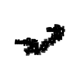 CC[C@H]1CCC[C@@H](c2ncc(-c3ccc(-c4ccc5cc(-c6cnc([C@@H]7CC8(CC8)CN7C(=O)[C@@H](NC(=O)OC)C(C)C)[nH]6)ccc5c4)cc3)[nH]2)N1C(=O)OC(C)(C)C